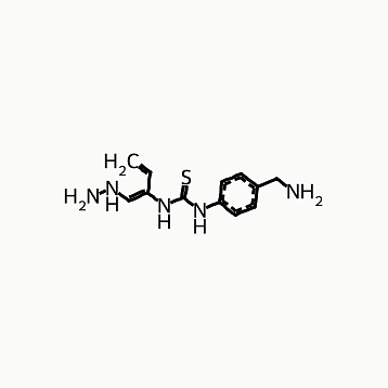 C=C/C(=C\NN)NC(=S)Nc1ccc(CN)cc1